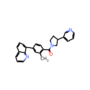 Cc1cc(-c2cccc3cccnc23)ccc1C(=O)N1CCC(c2cccnc2)C1